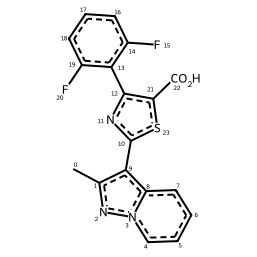 Cc1nn2ccccc2c1-c1nc(-c2c(F)cccc2F)c(C(=O)O)s1